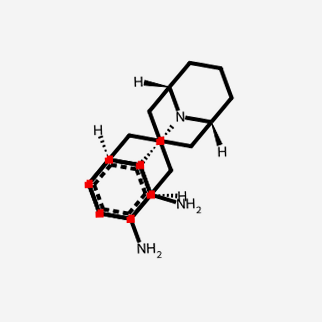 Nc1cccc([C@H]2C[C@H]3CCC[C@@H](C2)N3[C@H]2C[C@@H]3CCC[C@@H](C3)C2)c1N